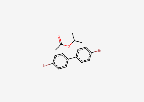 Brc1ccc(-c2ccc(Br)cc2)cc1.CC(=O)OC(C)C